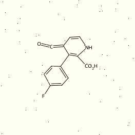 O=C=C1C=CNC(C(=O)O)=C1c1ccc(F)cc1